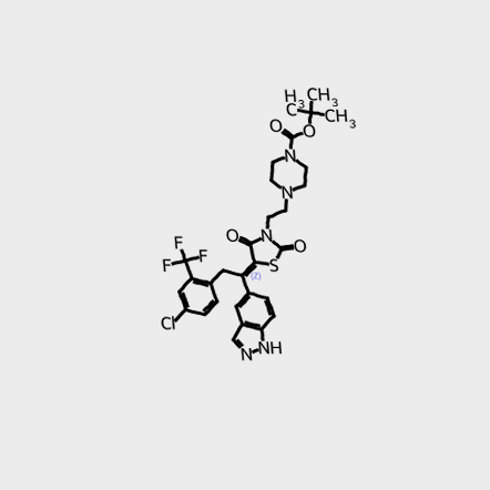 CC(C)(C)OC(=O)N1CCN(CCN2C(=O)S/C(=C(/Cc3ccc(Cl)cc3C(F)(F)F)c3ccc4[nH]ncc4c3)C2=O)CC1